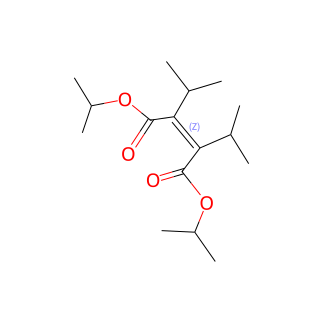 CC(C)OC(=O)/C(=C(\C(=O)OC(C)C)C(C)C)C(C)C